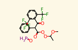 COC(C)OOC(=O)C(C(=O)c1c(C(F)(F)F)cccc1C(F)(F)F)c1ccccc1.O=[PH3]